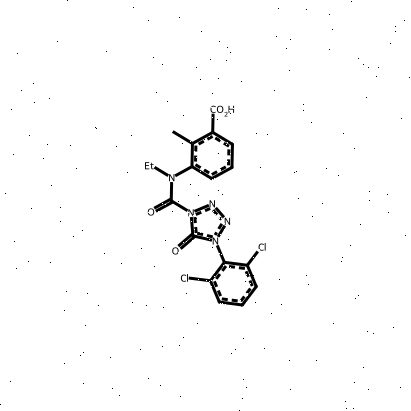 CCN(C(=O)n1nnn(-c2c(Cl)cccc2Cl)c1=O)c1cccc(C(=O)O)c1C